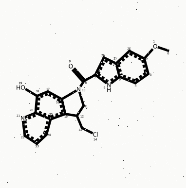 COc1ccc2[nH]c(C(=O)N3CC(CCl)c4c3cc(O)c3ncccc43)cc2c1